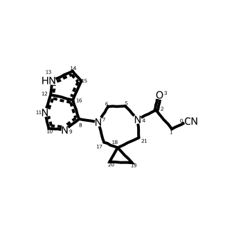 N#CCC(=O)N1CCN(c2ncnc3[nH]ccc23)CC2(CC2)C1